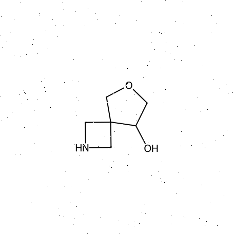 OC1COCC12CNC2